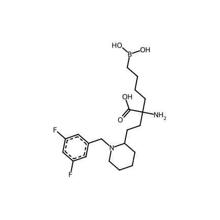 NC(CCCCB(O)O)(CCC1CCCCN1Cc1cc(F)cc(F)c1)C(=O)O